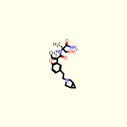 Cc1oc2ccc(CCN3CC4CC4C3)cc2c1C(=O)N[C@@](C)(CO)C(N)=O